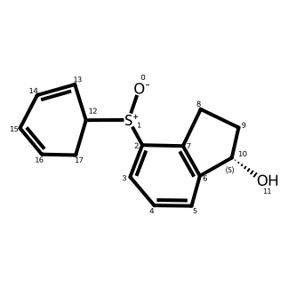 [O-][S+](c1cccc2c1CC[C@@H]2O)C1C=CC=CC1